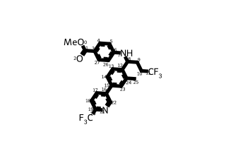 COC(=O)c1ccc(NC(CCC(F)(F)F)c2ccc(-c3ccc(C(F)(F)F)nc3)cc2C)cc1